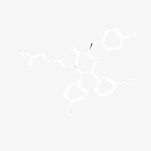 NC(=O)CCCCN1C(=O)[C@@H](Cc2ccc(F)cc2)O[C@H](c2cccc(Cl)c2)[C@@H]1c1ccc(Cl)cc1